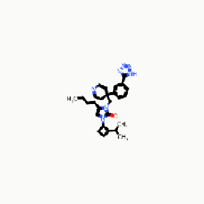 CCCCc1cn(C2CCC2C(C)C)c(=O)n1CC1(c2cccc(-c3nnn[nH]3)c2)C=CN=CC1